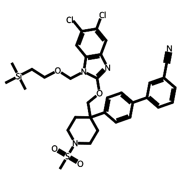 C[Si](C)(C)CCOCn1c(OCC2(c3ccc(-c4cccc(C#N)c4)cc3)CCN(S(C)(=O)=O)CC2)nc2cc(Cl)c(Cl)cc21